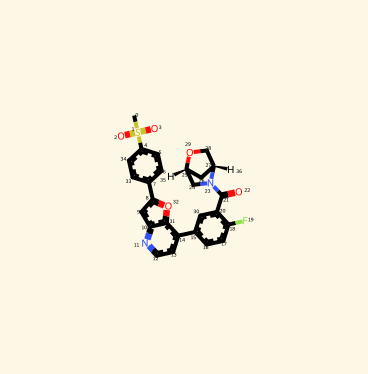 CS(=O)(=O)c1ccc(-c2cc3nccc(-c4ccc(F)c(C(=O)N5C[C@H]6C[C@@H]5CO6)c4)c3o2)cc1